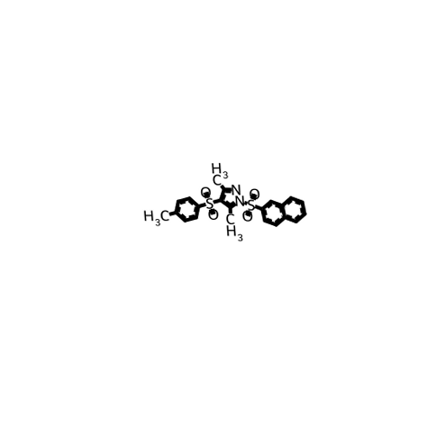 Cc1ccc(S(=O)(=O)c2c(C)nn(S(=O)(=O)c3ccc4ccccc4c3)c2C)cc1